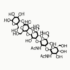 CC(=O)N[C@H]1[C@@H](O[C@H]2[C@@H](O)[C@@H](CO)O[C@@H](O[C@H]3[C@@H](O)[C@@H](CO)O[C@H](O[C@@H]4[C@H](O)[C@@H](O)[C@H](O[C@H]5[C@H](O)[C@@H](O)[C@H](O)O[C@@H]5CO)O[C@@H]4CO)[C@@H]3O)[C@@H]2NC(C)=O)O[C@H](CO)[C@H](O)[C@@H]1O